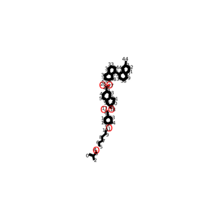 C=C(C)COCCCCCCOc1ccc(C(=O)Oc2ccc3cc(C(=O)Oc4ccc5cccc(-c6cccc7ccc(C)cc67)c5c4)ccc3c2)cc1